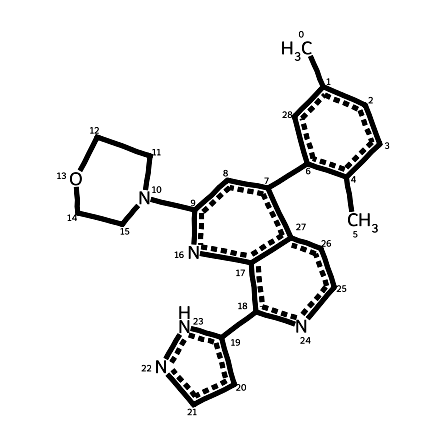 Cc1ccc(C)c(-c2cc(N3CCOCC3)nc3c(-c4ccn[nH]4)nccc23)c1